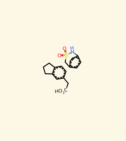 O=C(O)Cc1ccc2c(c1)CCC2.O=S1(=O)Cc2ccc(cc2)N1